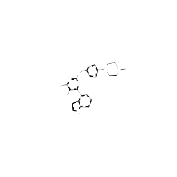 Cc1c(N)nc(Nc2ccc(N3CCN(C)CC3)cc2)nc1-c1cccc2[nH]ccc12